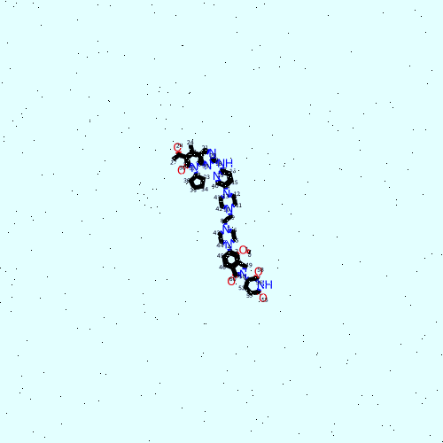 COc1c(N2CCN(CCN3CCN(c4ccc(Nc5ncc6c(C)c(C(C)=O)c(=O)n(C7CCCC7)c6n5)nc4)CC3)CC2)ccc2c1CN(C1CCC(=O)NC1=O)C2=O